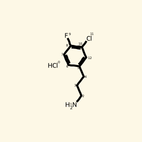 Cl.NCCCc1ccc(F)c(Cl)c1